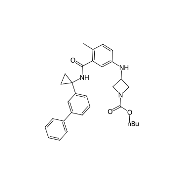 CCCCOC(=O)N1CC(Nc2ccc(C)c(C(=O)NC3(c4cccc(-c5ccccc5)c4)CC3)c2)C1